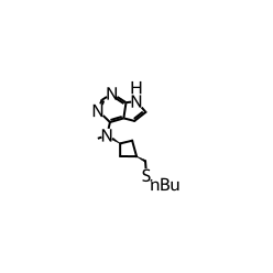 CCCCSC[C@H]1C[C@@H](N(C)c2ncnc3[nH]ccc23)C1